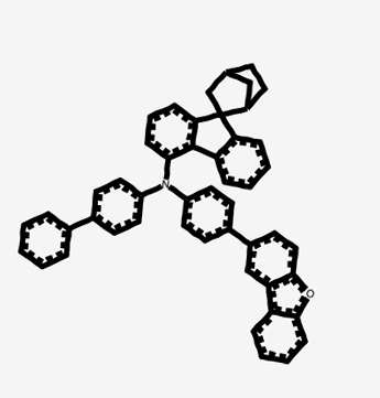 c1ccc(-c2ccc(N(c3ccc(-c4ccc5oc6ccccc6c5c4)cc3)c3cccc4c3-c3ccccc3C43CC4CCC3C4)cc2)cc1